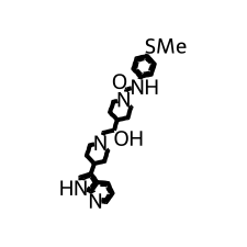 CSc1ccc(NC(=O)N2CCC(C(O)CN3CCC(c4c[nH]c5ncccc45)CC3)CC2)cc1